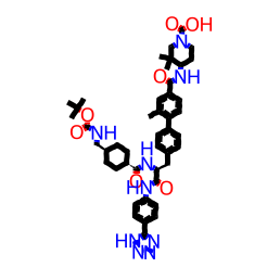 Cc1cc(C(=O)NC2CCN(C(=O)O)CC2(C)C)ccc1-c1ccc(C[C@H](NC(=O)[C@H]2CC[C@H](CNC(=O)OC(C)(C)C)CC2)C(=O)Nc2ccc(-c3nnn[nH]3)cc2)cc1